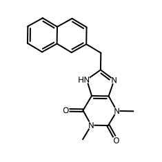 Cn1c(=O)c2[nH]c(Cc3ccc4ccccc4c3)nc2n(C)c1=O